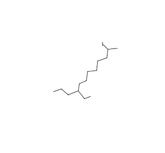 CCCC(CC)CCCCCCC(C)I